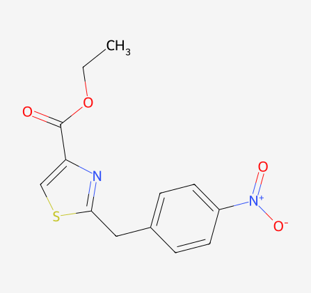 CCOC(=O)c1csc(Cc2ccc([N+](=O)[O-])cc2)n1